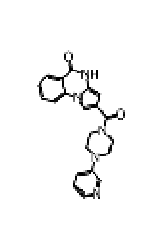 O=C(c1cc2[nH]c(=O)c3ccccc3n2c1)N1CCN(c2cccnc2)CC1